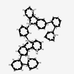 c1ccc(-c2ccccc2-c2ccc3c(c2)c2ncccc2n3-c2cccc(-n3c4ccc(-c5ccccc5-c5ccccn5)cc4c4ncccc43)c2)nc1